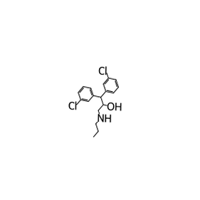 CCCNCC(O)C(c1cccc(Cl)c1)c1cccc(Cl)c1